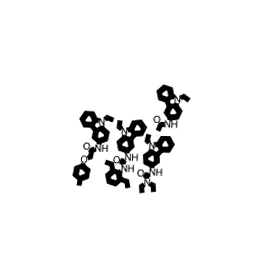 CCN(CC)C(=O)Nc1ccc2c(c1)c1ccccc1n2CC.CCc1cccc(CC)c1NC(=O)Nc1ccc2c(c1)c1ccccc1n2CC.CCn1c2ccccc2c2cc(NC(=O)COc3ccc(C)cc3)ccc21.CCn1c2ccccc2c2cc(NC(C)=O)ccc21